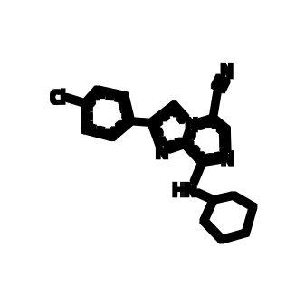 N#Cc1cnc(NC2CCCCC2)c2nc(-c3ccc(Cl)cc3)cn12